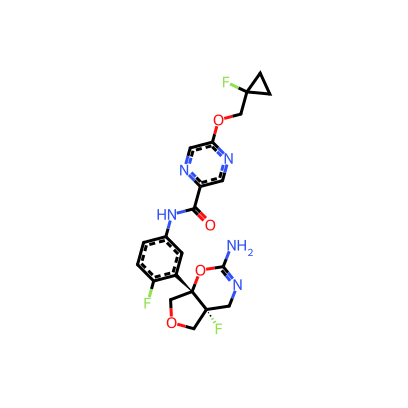 NC1=NC[C@@]2(F)COC[C@]2(c2cc(NC(=O)c3cnc(OCC4(F)CC4)cn3)ccc2F)O1